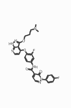 CN(C)CCCOc1n[nH]c2nccc(Oc3ccc(NC(=O)c4ccnn(-c5ccc(F)cc5)c4=O)cc3F)c12